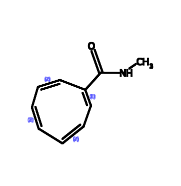 CNC(=O)C1=C/C=C\C=C/C=C\1